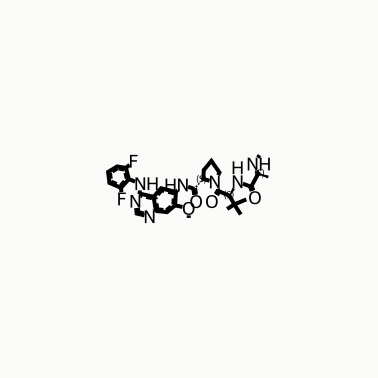 CN[C@@H](C)C(=O)N[C@H](C(=O)N1CCC[C@H]1C(=O)Nc1cc2c(Nc3c(F)cccc3F)ncnc2cc1OC)C(C)(C)C